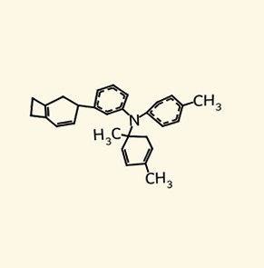 CC1=CCC(C)(N(c2ccc(C)cc2)c2cccc(C3C=CC4=C(CC4)C3)c2)C=C1